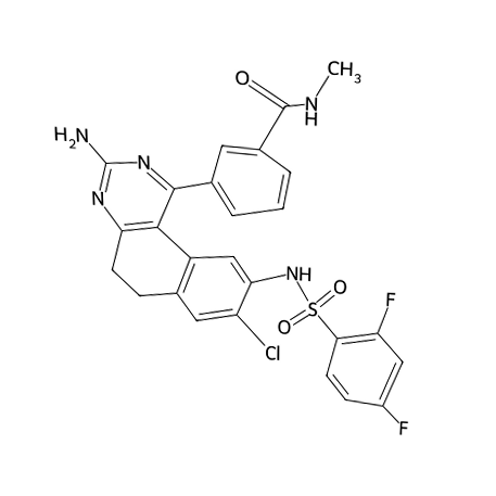 CNC(=O)c1cccc(-c2nc(N)nc3c2-c2cc(NS(=O)(=O)c4ccc(F)cc4F)c(Cl)cc2CC3)c1